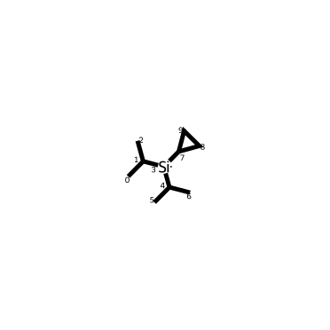 CC(C)[Si](C(C)C)C1CC1